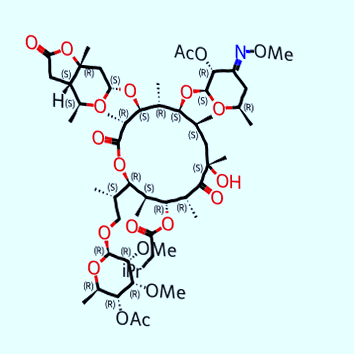 CON=C1C[C@@H](C)O[C@@H](O[C@@H]2[C@@H](C)[C@H](O[C@H]3C[C@@]4(C)OC(=O)C[C@H]4[C@H](C)O3)[C@@H](C)C(=O)O[C@H]([C@@H](C)CO[C@@H]3O[C@H](C)[C@@H](OC(C)=O)[C@@H](OC)[C@H]3OC)[C@H](C)[C@@H](OC(=O)CC(C)C)[C@@H](C)C(=O)[C@@](C)(O)C[C@@H]2C)[C@@H]1OC(C)=O